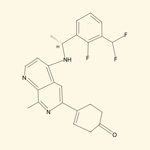 Cc1nc(C2=CCC(=O)CC2)cc2c(N[C@H](C)c3cccc(C(F)F)c3F)ccnc12